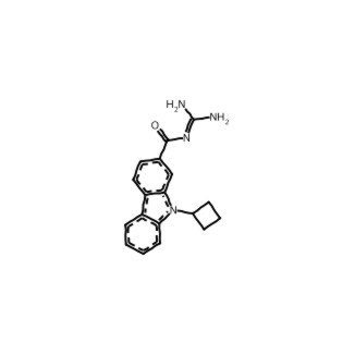 NC(N)=NC(=O)c1ccc2c3ccccc3n(C3CCC3)c2c1